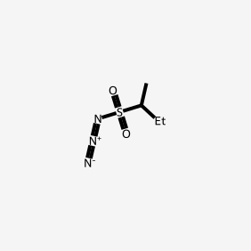 CCC(C)S(=O)(=O)N=[N+]=[N-]